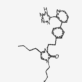 CCCCc1cn(CCCC)c(=O)n1CCc1ccc(-c2cccnc2-c2nnn[nH]2)cc1